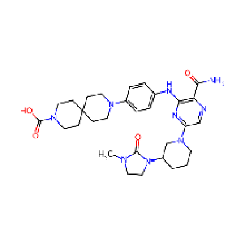 CN1CCN([C@@H]2CCCN(c3cnc(C(N)=O)c(Nc4ccc(N5CCC6(CCN(C(=O)O)CC6)CC5)cc4)n3)C2)C1=O